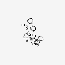 CC(C)(C)[Si](OC[C@@]12CO[C@@H]([C@H](n3ccc(=O)[nH]c3=O)O1)[C@@H]2OCc1cccc2ccccc12)(c1ccccc1)c1ccccc1